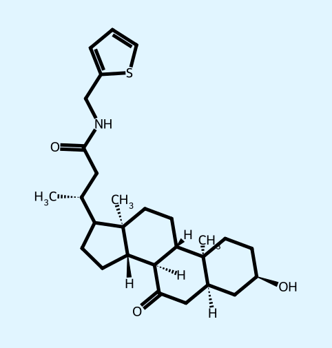 C[C@H](CC(=O)NCc1cccs1)C1CC[C@H]2[C@@H]3C(=O)C[C@@H]4C[C@H](O)CC[C@]4(C)[C@H]3CC[C@]12C